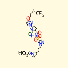 CC1(C)CC(CCCn2cc(S(=O)(=O)NC(=O)c3ccc(-n4ccc(OCCC5CC5C(F)(F)F)n4)nc3Cl)cn2)CN1C(=O)O